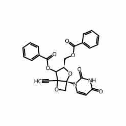 C#CC12OC[C@@]1(n1ccc(=O)[nH]c1=O)O[C@H](COC(=O)c1ccccc1)C2OC(=O)c1ccccc1